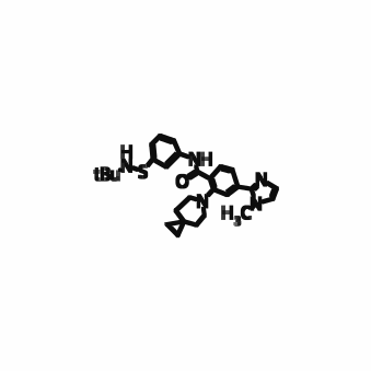 Cn1ccnc1-c1ccc(C(=O)Nc2cccc(SNC(C)(C)C)c2)c(N2CCC3(CC2)CC3)c1